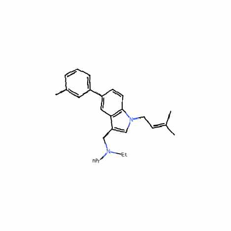 CCCN(CC)Cc1cn(CC=C(C)C)c2ccc(-c3cccc(C)c3)cc12